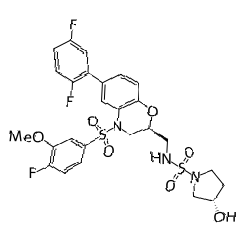 COc1cc(S(=O)(=O)N2C[C@H](CNS(=O)(=O)N3CC[C@H](O)C3)Oc3ccc(-c4cc(F)ccc4F)cc32)ccc1F